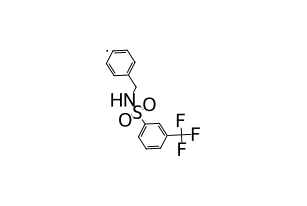 O=S(=O)(NCc1cc[c]cc1)c1cccc(C(F)(F)F)c1